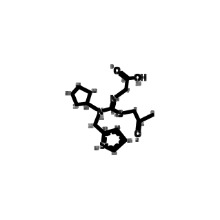 CC(=O)CS/C(=N\CC(=O)O)N(Cc1cccs1)C1CCCC1